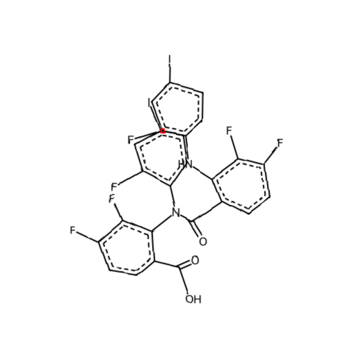 O=C(O)c1ccc(F)c(F)c1N(C(=O)c1ccc(F)c(F)c1Nc1ccc(I)cc1F)c1ccc(I)cc1F